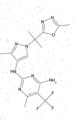 Cc1nnc(C(C)(C)n2cc(Nc3nc(C)c(C(F)(F)F)c(N)n3)c(C)n2)o1